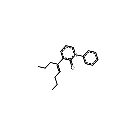 CCCC=C(CCC)c1cccn(-c2ccccc2)c1=O